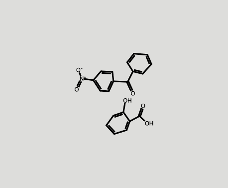 O=C(O)c1ccccc1O.O=C(c1ccccc1)c1ccc([N+](=O)[O-])cc1